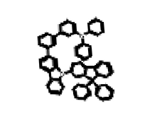 c1ccc(N(c2ccccc2)c2cccc(-c3cccc(-c4ccc5c6ccccc6n(-c6ccc7c(c6)C(c6ccccc6)(c6ccccc6)c6ccccc6-7)c5c4)c3)c2)cc1